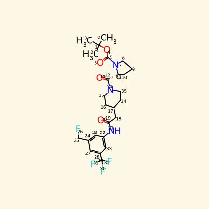 CC(C)(C)OC(=O)N1CCC[C@@H]1C(=O)N1CCC(CC(=O)Nc2cc(CF)cc(C(F)(F)F)c2)CC1